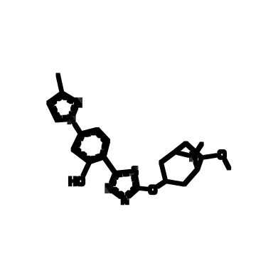 COC1CC2CC(Oc3nnc(-c4ccc(-n5ccc(C)n5)cc4O)s3)CC1N2C